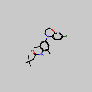 Cc1cc(N2CCCOc3cc(F)ccc32)cc(C)c1NC(=O)CC(C)(C)C